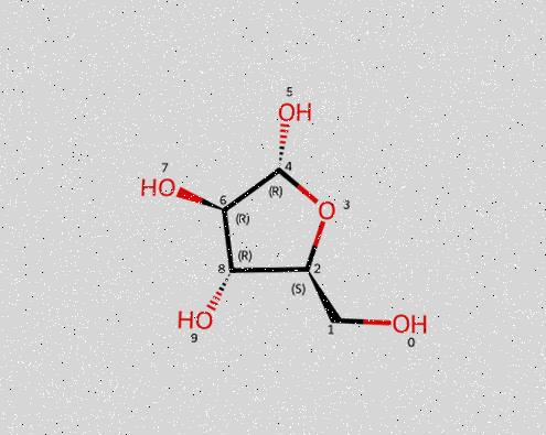 OC[C@@H]1O[C@@H](O)[C@H](O)[C@H]1O